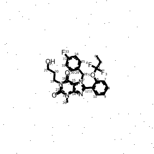 CCC(F)(F)Oc1ccccc1-c1nc2c(c(=O)n(CCCO)c(=O)n2C)n1Cc1ccc(F)cc1